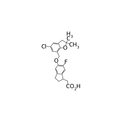 CC1(C)Cc2cc(Cl)cc(COc3cc4c(cc3F)C(CC(=O)O)CC4)c2O1